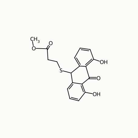 COC(=O)CCSC1c2cccc(O)c2C(=O)c2c(O)cccc21